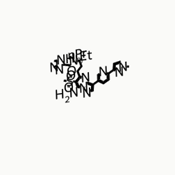 CCCN(C(=O)c1nnc[nH]1)[C@H](CC)CCc1nc2c(-c3ccc(-c4ccn(C)n4)nc3)cnn2c(N)c1S(C)(=O)=O